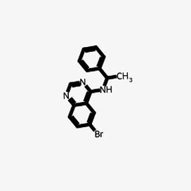 CC(Nc1ncnc2ccc(Br)cc12)c1ccccc1